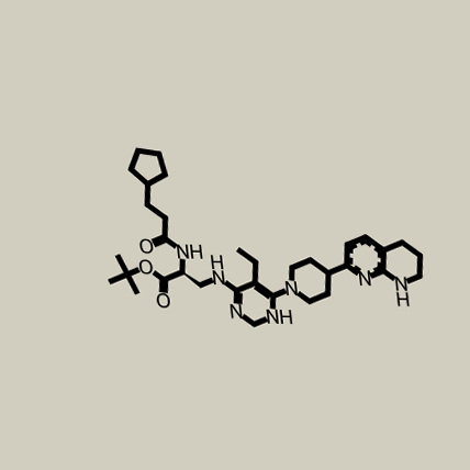 CCC1=C(N2CCC(c3ccc4c(n3)NCCC4)CC2)NCN=C1NC[C@H](NC(=O)CCC1CCCC1)C(=O)OC(C)(C)C